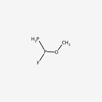 COP(F)P